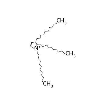 CCCCCCCCCCCCC[n+]1cccc(CCCCCCCCCCC)c1CCCCCCCCCCC